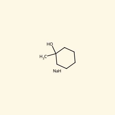 CC1(O)CCCCC1.[NaH]